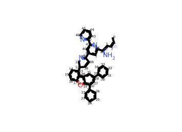 C/C=C\C=C(/N)c1cc(C2=NCC(c3cccc4oc5c(-c6ccccc6)cc(-c6ccccc6)cc5c34)C=C2)cc(-c2ccccn2)n1